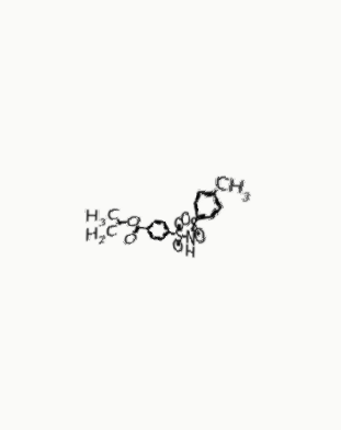 C=C(C)OC(=O)c1ccc(S(=O)(=O)NS(=O)(=O)c2ccc(C)cc2)cc1